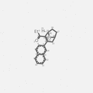 CCC(=O)C1=C(c2ccc3ccccc3c2)CC2CC[C@H]1N2